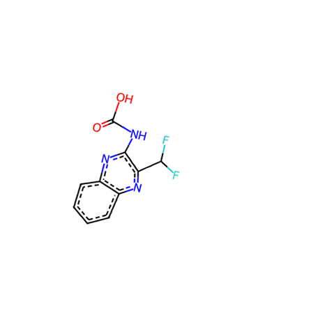 O=C(O)Nc1nc2ccccc2nc1C(F)F